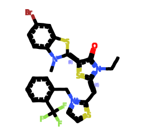 CCn1c(=O)/c(=C2\Sc3cc(Br)ccc3N2C)s/c1=C\c1scc[n+]1Cc1ccccc1C(F)(F)F